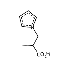 CC(Cn1cccc1)C(=O)O